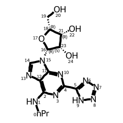 CCCNc1nc(-c2nnn[nH]2)nc2c1ncn2[C@@H]1O[C@H](CO)[C@H](O)[C@@H]1O